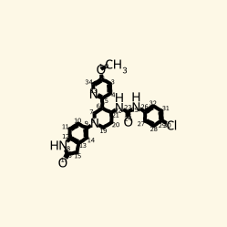 COc1ccc(C2CN(c3ccc4c(c3)CC(=O)N4)CCC2NC(=O)Nc2ccc(Cl)cc2)nc1